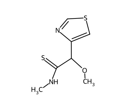 CNC(=S)C(OC)c1cscn1